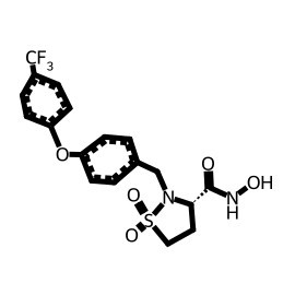 O=C(NO)[C@@H]1CCS(=O)(=O)N1Cc1ccc(Oc2ccc(C(F)(F)F)cc2)cc1